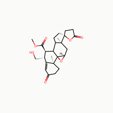 COC(=O)[C@H]1C2C3CC[C@@]4(CCC(=O)O4)[C@@]3(C)C[C@H]3O[C@@]23[C@@]2(C)CCC(=O)C=C2[C@@H]1CO